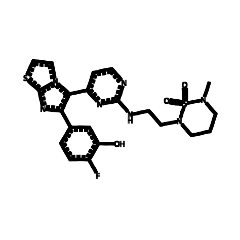 CN1CCCN(CCNc2nccc(-c3c(-c4ccc(F)c(O)c4)nc4sccn34)n2)S1(=O)=O